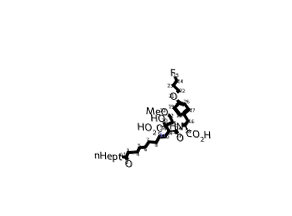 CCCCCCCC(=O)CCCCCC/C=C/[C@H](C(=O)N[C@@H](Cc1ccc(OCCCF)cc1)C(=O)O)[C@@](O)(CCOC)C(=O)O